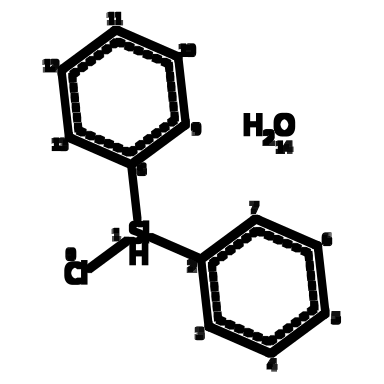 Cl[SiH](c1ccccc1)c1ccccc1.O